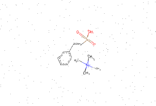 C[N+](C)(C)C.O=S(=O)(O)C=Cc1ccccc1